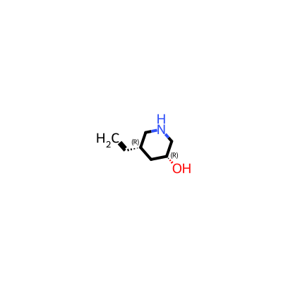 C=C[C@@H]1CNC[C@H](O)C1